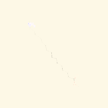 COC(=O)CCCCCCCCCCCCCCCN